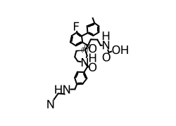 Cc1cccc(-c2c(F)cccc2[C@](O)(CCCNC(=O)O)[C@@H]2CCCN(C(=O)c3ccc(CNCCC#N)cc3)C2)c1